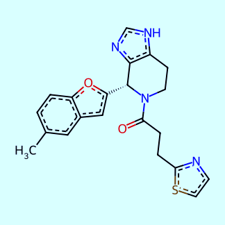 Cc1ccc2oc([C@@H]3c4nc[nH]c4CCN3C(=O)CCc3nccs3)cc2c1